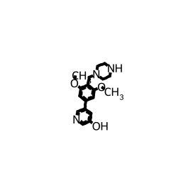 COc1cc(-c2cncc(O)c2)cc(OC)c1CN1CCNCC1